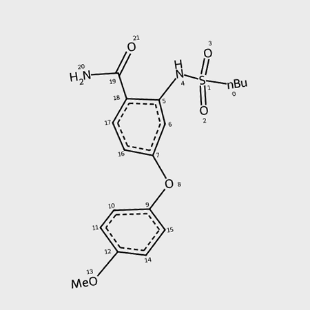 CCCCS(=O)(=O)Nc1cc(Oc2ccc(OC)cc2)ccc1C(N)=O